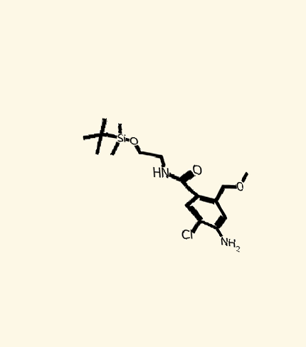 COCc1cc(N)c(Cl)cc1C(=O)NCCO[Si](C)(C)C(C)(C)C